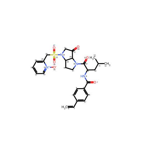 C=Cc1ccc(C(=O)NC(CC(C)C)C(=O)N2CCC3C2C(=O)CN3S(=O)(=O)Cc2cccc[n+]2[O-])cc1